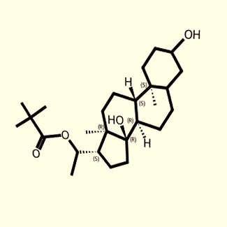 CC(OC(=O)C(C)(C)C)[C@H]1CC[C@@]2(O)[C@@H]3CCC4CC(O)CC[C@]4(C)[C@H]3CC[C@]12C